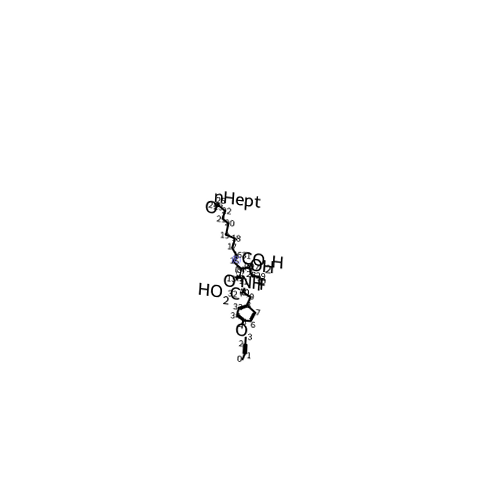 CC#CCOc1ccc(C[C@H](NC(=O)[C@@H](/C=C/CCCCCCC(=O)CCCCCCC)[C@@](O)(CCF)C(=O)O)C(=O)O)cc1